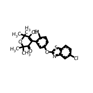 CCc1ccc(Oc2nc3cc(Cl)ccc3s2)cc1C1=C(O)C(C)(C)OC(C)(C)C1=O